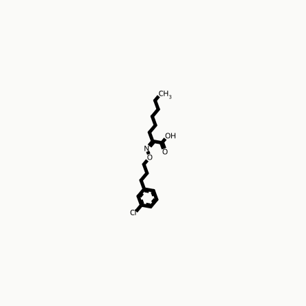 CCCCCCC(=NOCCCc1cccc(Cl)c1)C(=O)O